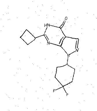 O=c1[nH]c(C2CCC2)nc2c1cnn2C1CCC(F)(F)CC1